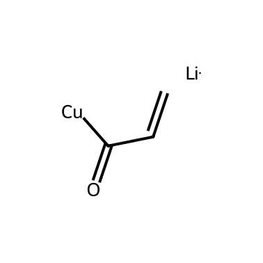 C=C[C](=O)[Cu].[Li]